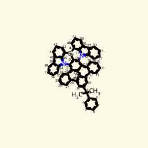 CC(C)(c1ccccc1)c1cc2c3ccccc3c3c4c5c(c6c7ccccc7c(c1)c2c36)-n1c2ccccc2c2cccc(c21)B5c1cccc2c3ccccc3n-4c12